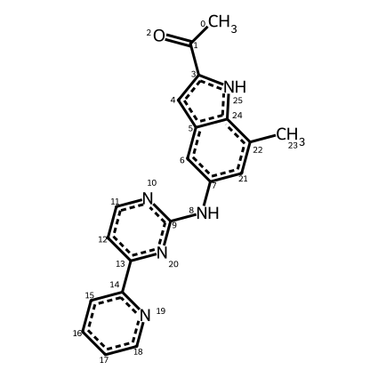 CC(=O)c1cc2cc(Nc3nccc(-c4ccccn4)n3)cc(C)c2[nH]1